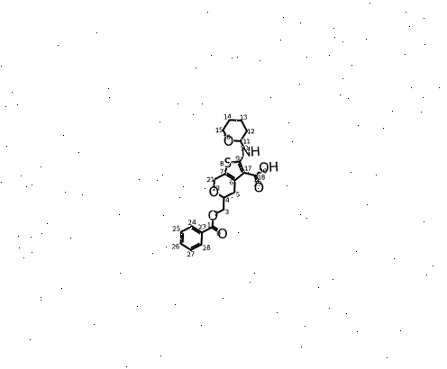 O=C(OCC1Cc2c(sc(NC3CCCCO3)c2C(=O)O)CO1)c1ccccc1